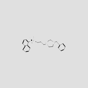 O=S(=O)(NCCCN1CCN(Cc2ccccc2)CC1)c1cccc2ccccc12